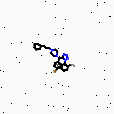 Cc1cccc(C)c1-n1nnnc1[C@H](c1ccc(Br)cc1)N1CCN(C/C=C/c2ccccc2)CC1